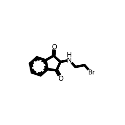 O=C1c2ccccc2C(=O)C1NCCBr